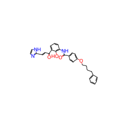 O=C(Nc1cccc(C(=O)C=Cc2ncc[nH]2)c1O)c1ccc(OCCCCc2ccccc2)cc1